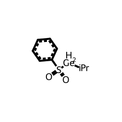 C[CH](C)[GeH2][S](=O)(=O)c1ccccc1